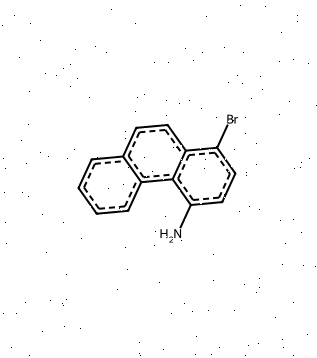 Nc1ccc(Br)c2ccc3ccccc3c12